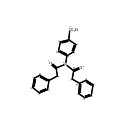 CCOC(=O)c1ccc(N(C(=O)Cc2ccccc2)C(=O)Cc2ccccc2)cc1